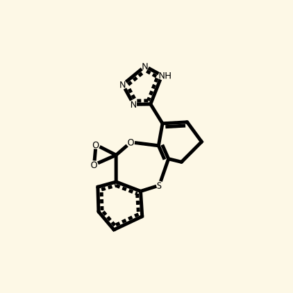 C1=C(c2nnn[nH]2)C2=C(CC1)Sc1ccccc1C1(OO1)O2